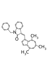 Cc1cc(C)c2ccc(/C=C3\C(=O)N(Cc4ccccc4)c4ccccc43)c-2c(C)c1